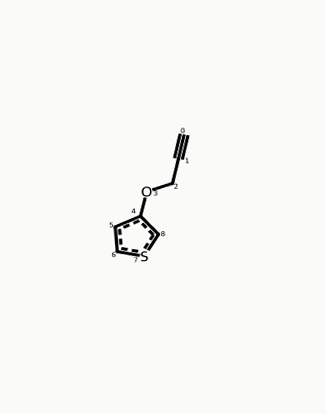 C#CCOc1ccsc1